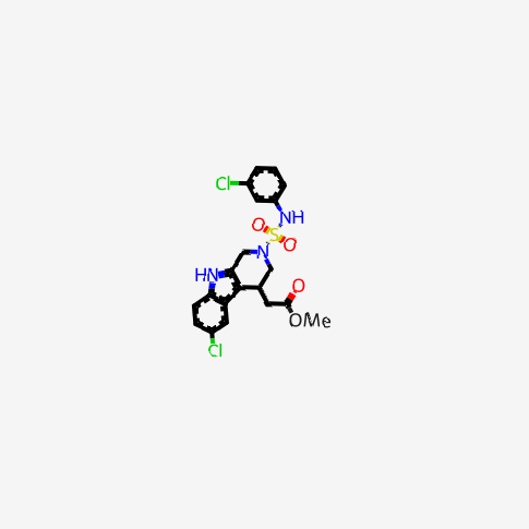 COC(=O)CC1CN(S(=O)(=O)Nc2cccc(Cl)c2)Cc2[nH]c3ccc(Cl)cc3c21